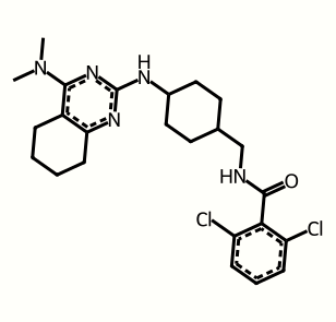 CN(C)c1nc(NC2CCC(CNC(=O)c3c(Cl)cccc3Cl)CC2)nc2c1CCCC2